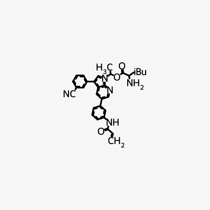 C=CC(=O)Nc1cccc(-c2cnc3c(c2)c(-c2cccc(C#N)c2)cn3C(C)OC(=O)C(N)C(C)CC)c1